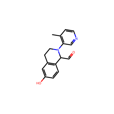 Cc1ccncc1N1CCc2cc(O)ccc2C1C=O